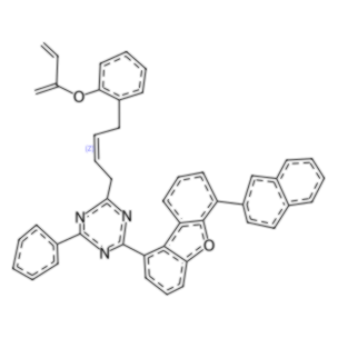 C=CC(=C)Oc1ccccc1C/C=C\Cc1nc(-c2ccccc2)nc(-c2cccc3oc4c(-c5ccc6ccccc6c5)cccc4c23)n1